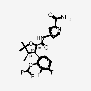 C[C@@H]1[C@H](c2ccc(F)c(F)c2OC(F)F)[C@H](C(=O)Nc2ccnc(C(N)=O)c2)OC1(C)C